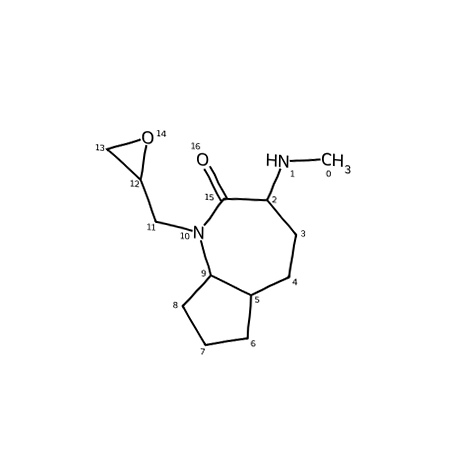 CNC1CCC2CCCC2N(CC2CO2)C1=O